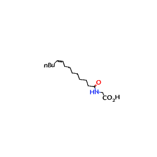 CCCC/C=C\CCCCCCCC(=O)NCC(=O)O